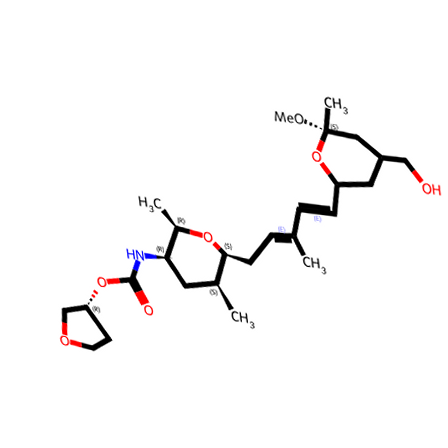 CO[C@]1(C)CC(CO)CC(/C=C/C(C)=C/C[C@@H]2O[C@H](C)[C@H](NC(=O)O[C@@H]3CCOC3)C[C@@H]2C)O1